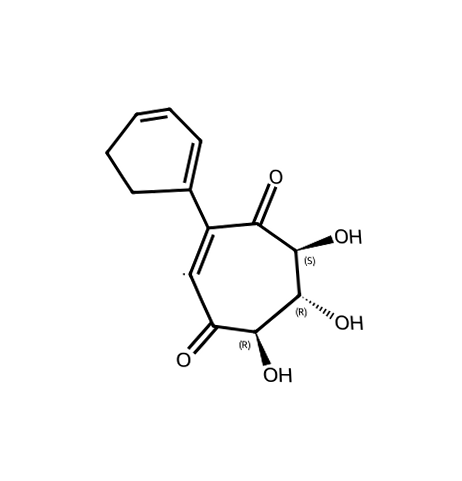 O=C1C(C2=CC=CCC2)=[C]C(=O)[C@H](O)[C@@H](O)[C@@H]1O